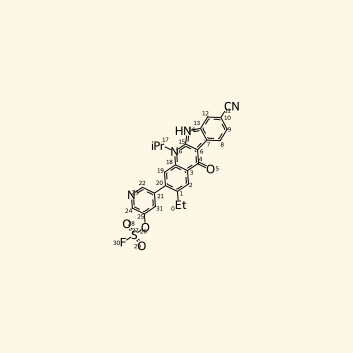 CCc1cc2c(=O)c3c4ccc(C#N)cc4[nH]c3n(C(C)C)c2cc1-c1cncc(OS(=O)(=O)F)c1